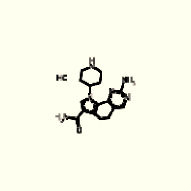 Cl.NC(=O)c1cn(C2CCNCC2)c2c1CCc1cnc(N)nc1-2